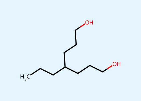 CCCC(CCCO)CCCO